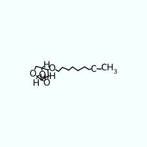 CCCCCCCCCCO[C@H]1[C@@H]2O[C@H]2[C@@H]2OC[C@H]1O2